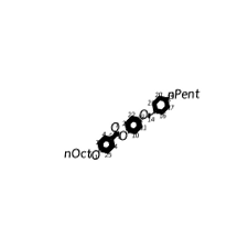 CCCCCCCCOc1ccc(C(=O)Oc2ccc(OC[C@H]3CC[C@H](CCCCC)CC3)cc2)cc1